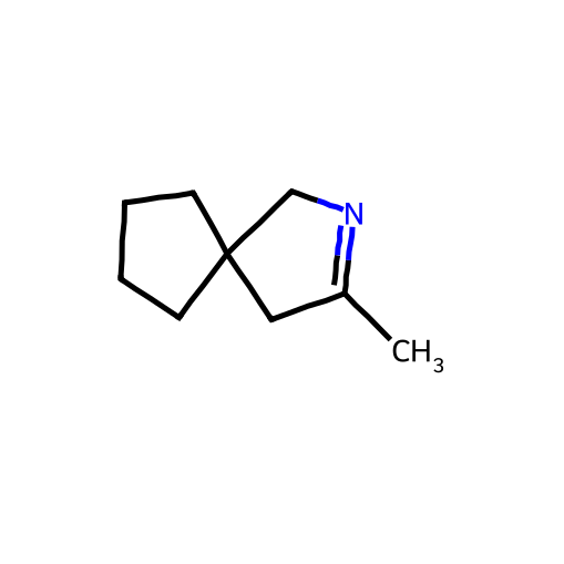 CC1=NCC2(CCCC2)C1